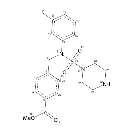 COC(=O)c1ccc(CN(c2cccc(C)c2)S(=O)(=O)N2CCNCC2)nc1